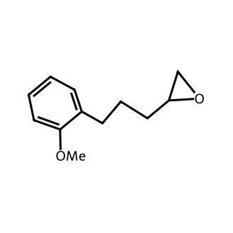 COc1ccccc1CCCC1CO1